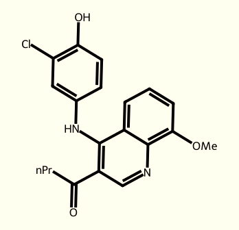 CCCC(=O)c1cnc2c(OC)cccc2c1Nc1ccc(O)c(Cl)c1